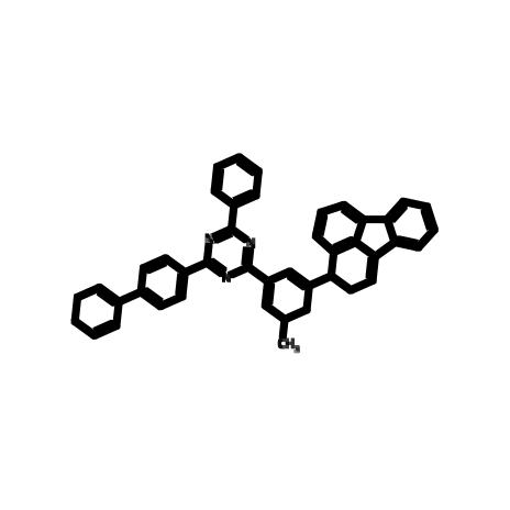 CC1C=C(c2nc(-c3ccccc3)nc(-c3ccc(C4=CCCC=C4)cc3)n2)C=C(C2CC=C3c4ccccc4-c4cccc2c43)C1